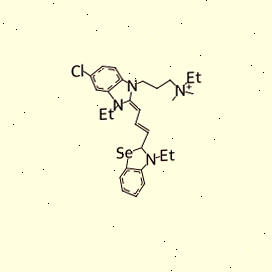 CCN1C(=CC=CC2[Se]c3ccccc3N2CC)N(CCC[N+](C)(C)CC)c2ccc(Cl)cc21